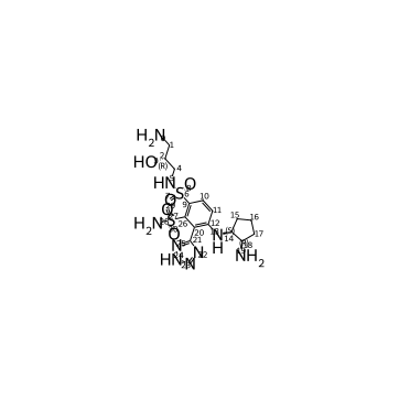 NC[C@@H](O)CNS(=O)(=O)c1ccc(N[C@H]2CCC[C@H]2N)c(-c2nn[nH]n2)c1S(N)(=O)=O